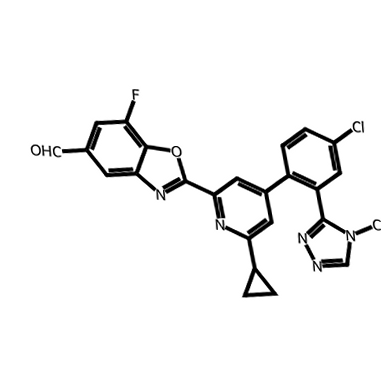 Cn1cnnc1-c1cc(Cl)ccc1-c1cc(-c2nc3cc(C=O)cc(F)c3o2)nc(C2CC2)c1